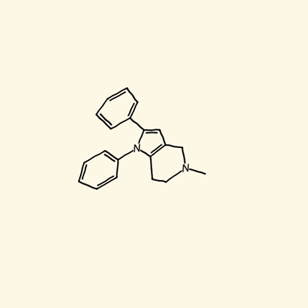 CN1CCc2c(cc(-c3ccccc3)n2-c2ccccc2)C1